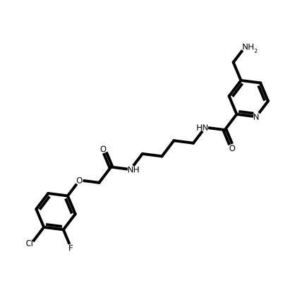 NCc1ccnc(C(=O)NCCCCNC(=O)COc2ccc(Cl)c(F)c2)c1